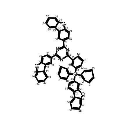 c1ccc([Si](c2ccccc2)(c2cccc(-c3nc(-c4ccc5oc6ccccc6c5c4)nc(-c4ccc5oc6ccccc6c5c4)n3)c2)c2ccc3c(c2)oc2ccccc23)cc1